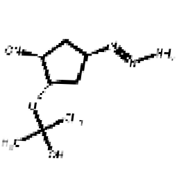 CC(C)(O)O[C@H]1C[C@H](N=NN)C[C@@H]1N=O